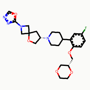 Fc1ccc(OC[C@H]2COCCO2)c(C2CCN([C@@H]3COC4(C3)CN(c3nnco3)C4)CC2)c1